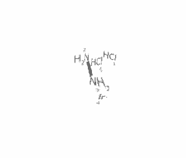 Cl.Cl.NN.[Ir]